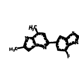 Cc1cn2nc(-c3cc(F)c4ncsc4c3)cc(C)c2n1